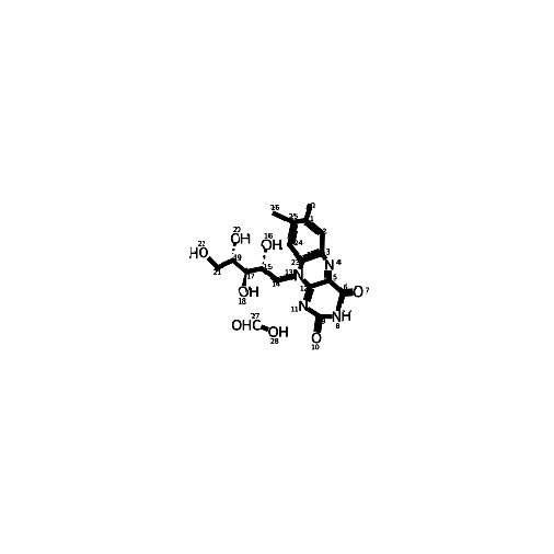 Cc1cc2nc3c(=O)[nH]c(=O)nc-3n(C[C@@H](O)[C@@H](O)[C@@H](O)CO)c2cc1C.O=CO